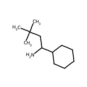 CC(C)(C)CC(N)C1CCCCC1